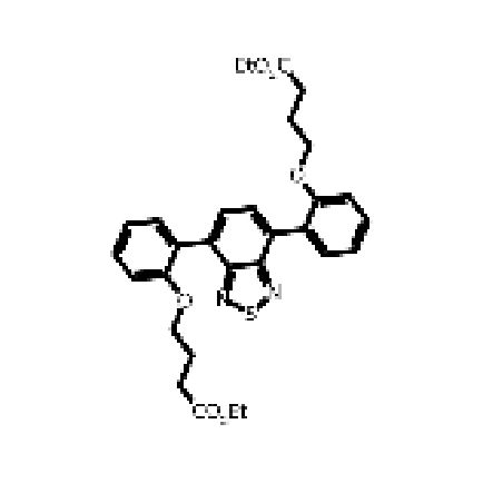 CCOC(=O)CCCOc1ccccc1-c1ccc(-c2ccccc2OCCCC(=O)OCC)c2nsnc12